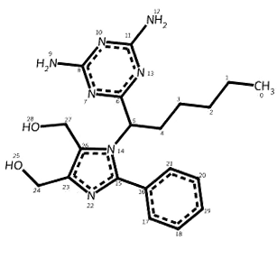 CCCCCC(c1nc(N)nc(N)n1)n1c(-c2ccccc2)nc(CO)c1CO